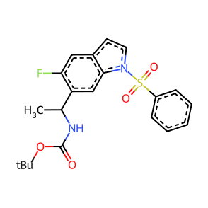 CC(NC(=O)OC(C)(C)C)c1cc2c(ccn2S(=O)(=O)c2ccccc2)cc1F